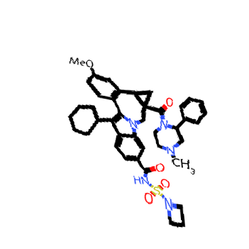 COc1ccc2c(c1)C1CC1(C(=O)N1CCN(C)CC1c1ccccc1)Cn1c-2c(C2CCCCC2)c2ccc(C(=O)NS(=O)(=O)N3CCC3)cc21